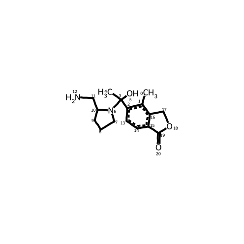 Cc1c(C(C)(O)N2CCCC2CN)ccc2c1COC2=O